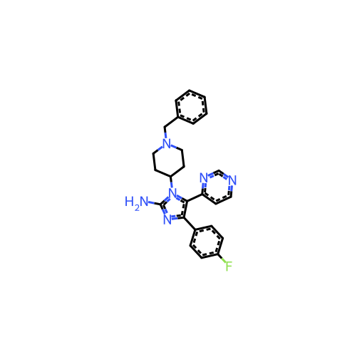 Nc1nc(-c2ccc(F)cc2)c(-c2ccncn2)n1C1CCN(Cc2ccccc2)CC1